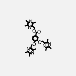 Cc1nc(C)c(COC(=O)c2ccc(OCc3nc(C)c(C)nc3C)c(OCc3nc(C)c(C)nc3C)c2)nc1C